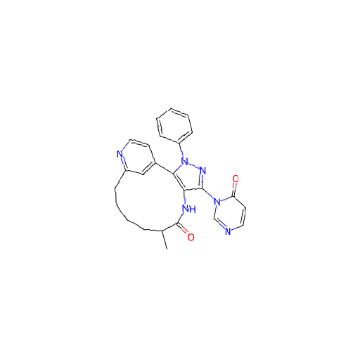 CC1CCCCc2cc(ccn2)-c2c(c(-n3cnccc3=O)nn2-c2ccccc2)NC1=O